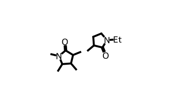 CC1C(=O)N(C)C(C)C1C.CCN1CCC(C)C1=O